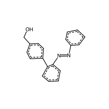 OCc1ccc(-c2ccccc2N=Nc2ccccc2)cc1